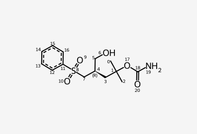 CC(C)(C[C@H](CO)CS(=O)(=O)c1ccccc1)OC(N)=O